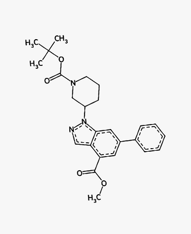 COC(=O)c1cc(-c2ccccc2)cc2c1cnn2C1CCCN(C(=O)OC(C)(C)C)C1